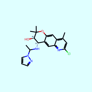 Cc1cc(Cl)nc2cc3c(cc12)OC(C)(C)[C@H](O)[C@H]3NC(C)n1cccn1